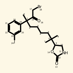 CC(CCCCC(C)(C)C1CNC(=O)O1)(C(=O)CBr)c1cccc(I)c1